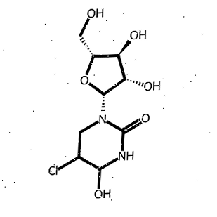 O=C1NC(O)C(Cl)CN1[C@@H]1O[C@H](CO)[C@@H](O)[C@@H]1O